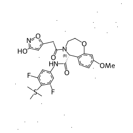 COc1ccc2c(c1)OCCN(C(=O)Cc1cc(O)no1)[C@H]2C(=O)Nc1cc(F)c(S(C)(C)C)c(F)c1